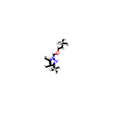 Cc1[c]([Sn]([CH3])([CH3])[CH3])nn(COCC[Si](C)(C)C)c1C